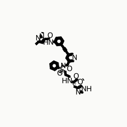 COC(=O)[C@H](Cc1c[nH]cn1)NCCC[S@@](=O)(=NC(=O)c1cncc(C#Cc2cccc(NC(=O)c3cc(C)nn3C)c2)c1)c1ccccc1